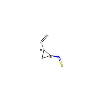 C=C[C@H]1C[C@@H]1N=S